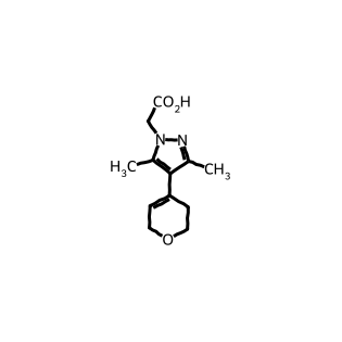 Cc1nn(CC(=O)O)c(C)c1C1=CCOCC1